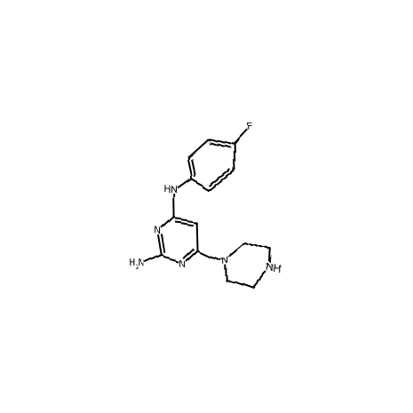 Nc1nc(Nc2ccc(F)cc2)cc(N2CCNCC2)n1